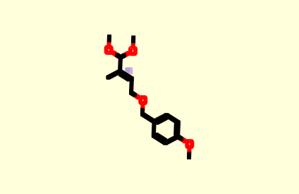 COc1ccc(COC/C=C(\C)C(OC)OC)cc1